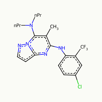 CCCN(CCC)c1c(C)c(Nc2ccc(Cl)cc2C(F)(F)F)nc2ccnn12